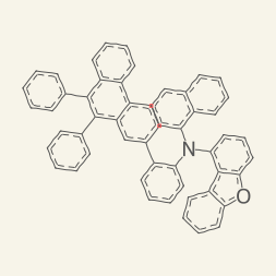 c1ccc(-c2c(-c3ccccc3)c3cc(-c4ccccc4N(c4cccc5ccccc45)c4cccc5oc6ccccc6c45)ccc3c3ccccc23)cc1